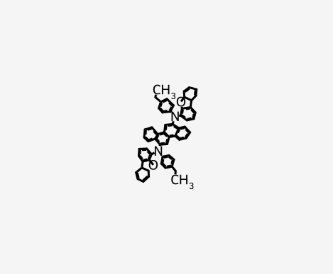 CCc1ccc(N(c2cccc3c2OC2C=CC=CC32)c2cc3c4ccccc4c(N(c4ccc(CC)cc4)c4cccc5c4OC4C=CC=CC54)cc3c3ccccc23)cc1